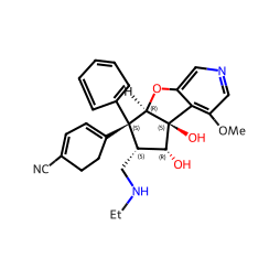 CCNC[C@H]1[C@@H](O)[C@@]2(O)c3c(OC)cncc3O[C@@H]2[C@@]1(C1=CC=C(C#N)CC1)c1ccccc1